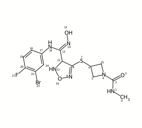 CNC(=O)N1CC(SC2=NONC2/C(=N/O)Nc2ccc(F)c(Br)c2)C1